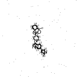 C[C@@H](OC(=O)N1CCN(c2cnn3cc(-c4cnn(C)c4)ccc23)CC1)c1ccccc1